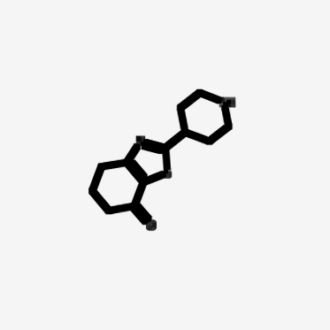 O=C1CCCc2nc(C3CCNCC3)sc21